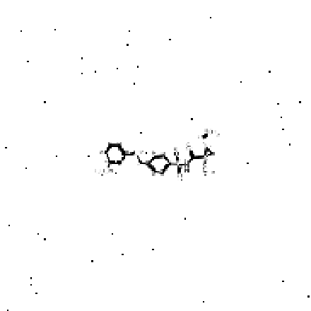 C=C[C@@H]1C[C@]1(C)C(=O)NS(=O)(=O)c1ccc(COc2cccc(C(=O)O)c2)cc1